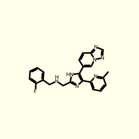 Cc1cccc(-c2nc(CNCc3ccccc3F)[nH]c2-c2ccc3ncnn3c2)n1